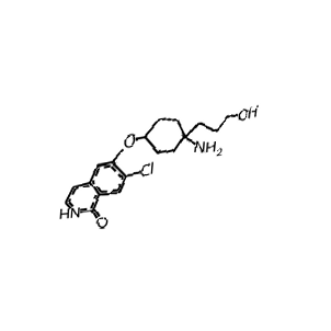 NC1(CCCO)CCC(Oc2cc3cc[nH]c(=O)c3cc2Cl)CC1